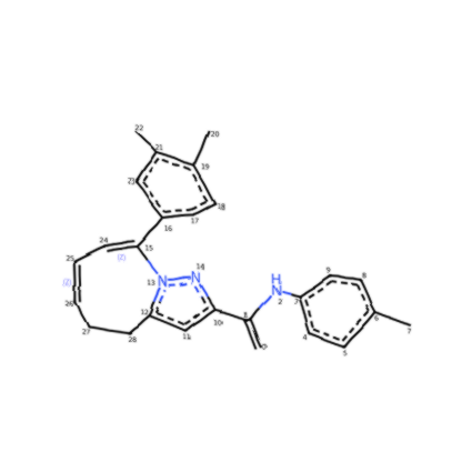 C=C(Nc1ccc(C)cc1)c1cc2n(n1)/C(c1ccc(C)c(C)c1)=C\C=C/CC2